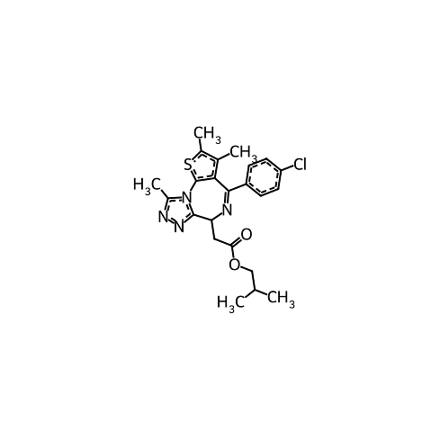 Cc1sc2c(c1C)C(c1ccc(Cl)cc1)=NC(CC(=O)OCC(C)C)c1nnc(C)n1-2